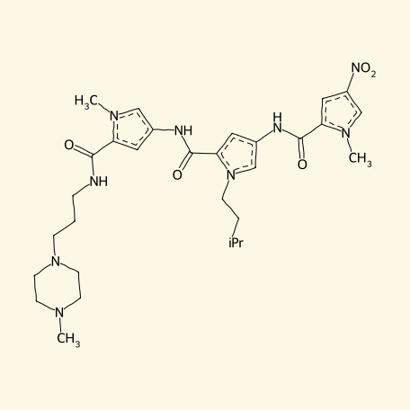 CC(C)CCn1cc(NC(=O)c2cc([N+](=O)[O-])cn2C)cc1C(=O)Nc1cc(C(=O)NCCCN2CCN(C)CC2)n(C)c1